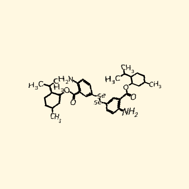 CC1CCC(C(C)C)C(OC(=O)c2cc([Se][Se]c3ccc(N)c(C(=O)OC4CC(C)CCC4C(C)C)c3)ccc2N)C1